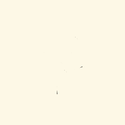 c1ccc2c(c1)C[C@H]1CC[C@@H](C2)N(Cc2ccnc3ccccc23)C1